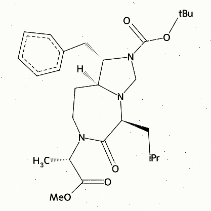 COC(=O)[C@H](C)N1CC[C@H]2[C@H](Cc3ccccc3)N(C(=O)OC(C)(C)C)CN2[C@@H](CC(C)C)C1=O